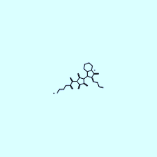 [CH2]CCCC(=C)C(=C)C1C(=C)C(=C)C(C2C(=CCCC)C(=C)[C]3CCCCC32)C1=C